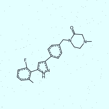 Cc1cccc(F)c1-c1cc(-c2ccc(CN3CCN(C)CC3=O)cc2)n[nH]1